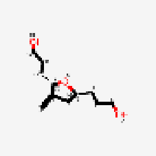 C=C1C[C@H](CCCO)O[C@H]1CCCO